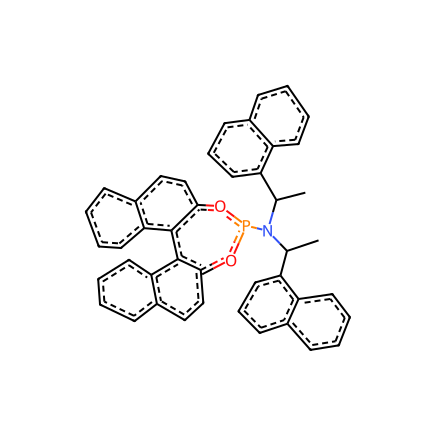 CC(c1cccc2ccccc12)N(C(C)c1cccc2ccccc12)p1oc2ccc3ccccc3c2c2c(ccc3ccccc32)o1